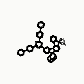 CC1(C)c2ccccc2-c2c1ccc1c2-c2cc(-c3nc(-c4ccc(-c5ccccc5)cc4)nc(-c4ccc(-c5ccccc5)cc4)n3)ccc2C12C1CC3CC(C1)CC2C3